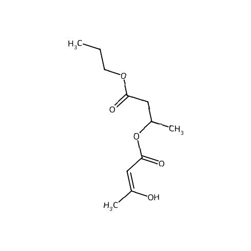 CCCOC(=O)CC(C)OC(=O)C=C(C)O